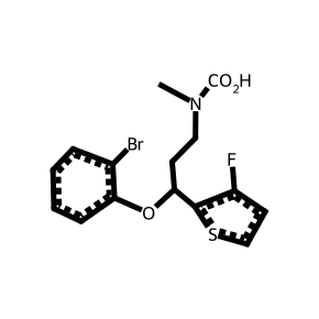 CN(CCC(Oc1ccccc1Br)c1sccc1F)C(=O)O